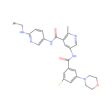 Cc1ncc(NC(=O)c2cc(F)cc(N3CCOCC3)c2)cc1C(=O)Nc1ccc(NCC(C)C)nc1